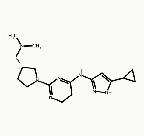 CN(C)C[C@H]1CCN(C2=NCCC(Nc3cc(C4CC4)[nH]n3)=N2)C1